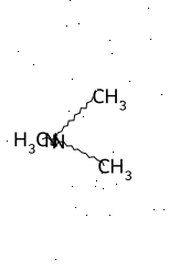 CCCCCCCCCCCCCCC1N(CC)C=CN1CCCCCCCCCCCC